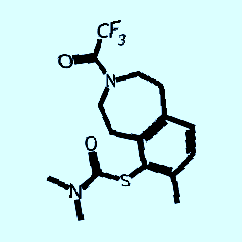 Cc1ccc2c(c1SC(=O)N(C)C)CCN(C(=O)C(F)(F)F)CC2